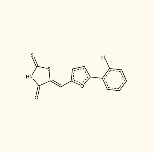 O=C1NC(=S)S/C1=C\c1ccc(-c2ccccc2Cl)o1